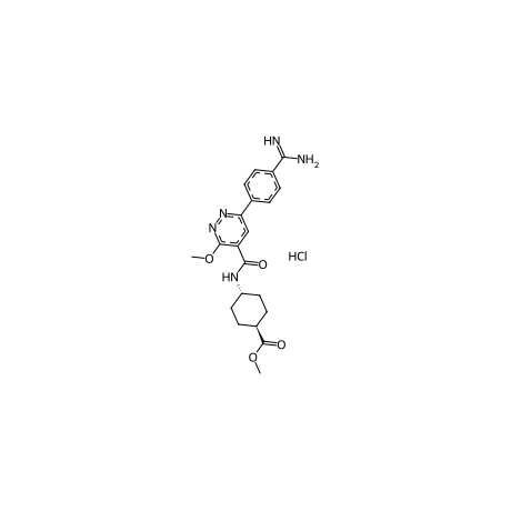 COc1nnc(-c2ccc(C(=N)N)cc2)cc1C(=O)N[C@H]1CC[C@H](C(=O)OC)CC1.Cl